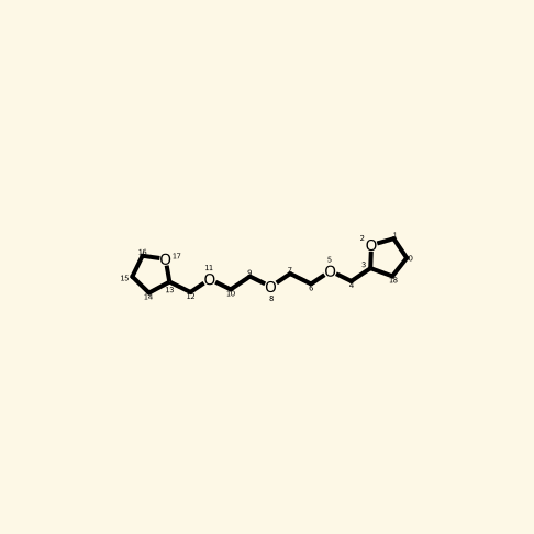 C1COC(COCCOCCOCC2CCCO2)C1